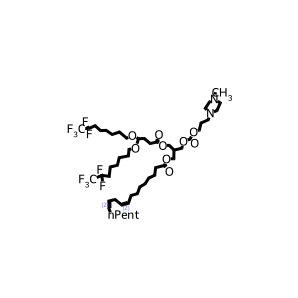 CCCCC/C=C\C/C=C\CCCCCCCC(=O)OCC(COC(=O)CCC(OCCCCCCC(F)(F)C(F)(F)F)OCCCCCCC(F)(F)C(F)(F)F)COC(=O)OCCCN1CCN(C)CC1